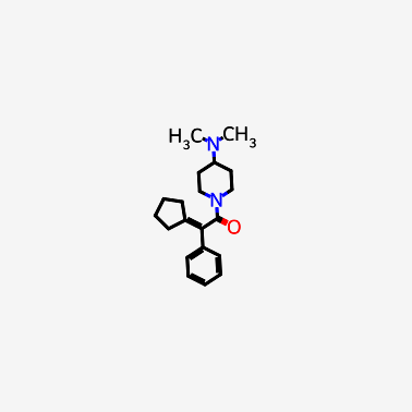 CN(C)C1CCN(C(=O)C(=C2CCCC2)c2ccccc2)CC1